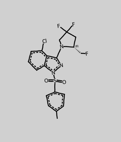 Cc1ccc(S(=O)(=O)n2nc(N3CC(F)(F)C[C@@H]3CF)c3c(Cl)cccc32)cc1